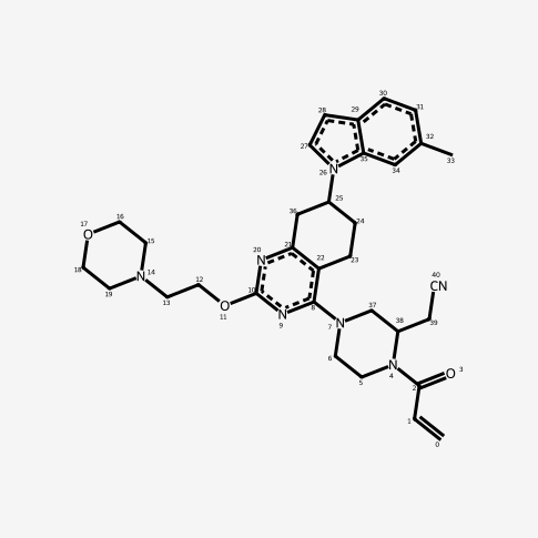 C=CC(=O)N1CCN(c2nc(OCCN3CCOCC3)nc3c2CCC(n2ccc4ccc(C)cc42)C3)CC1CC#N